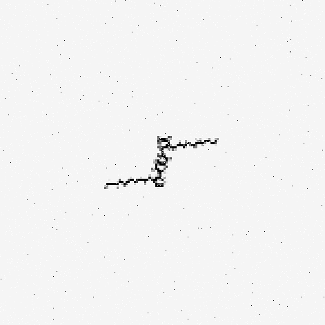 CCCCCCCCCCc1ccsc1-c1cc2sc(-c3sccc3CCCCCCCCCC)cc2s1